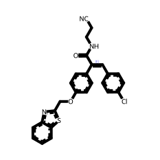 N#CCCNC(=O)/C(=C/c1ccc(Cl)cc1)c1ccc(OCc2nc3ccccc3s2)cc1